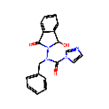 O=C1c2ccccc2C(O)N1N(Cc1ccccc1)C(=O)n1ccnc1